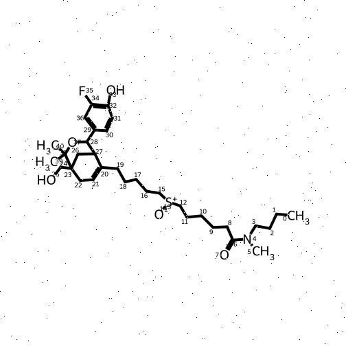 CCCCN(C)C(=O)CCCCC[S+]([O-])CCCCCC1=CCC2(CO)CC1C(c1ccc(O)c(F)c1)OC2(C)C